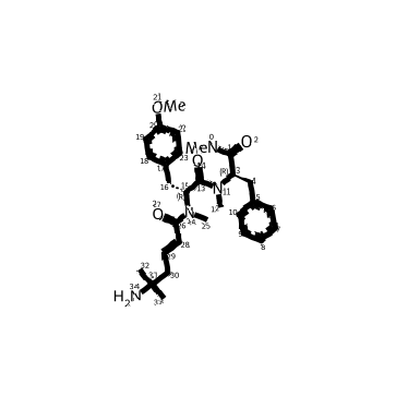 CNC(=O)[C@@H](Cc1ccccc1)N(C)C(=O)[C@@H](Cc1ccc(OC)cc1)N(C)C(=O)C=CCC(C)(C)N